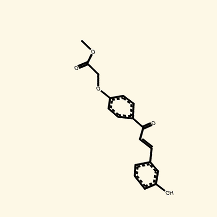 COC(=O)COc1ccc(C(=O)/C=C/c2cccc(O)c2)cc1